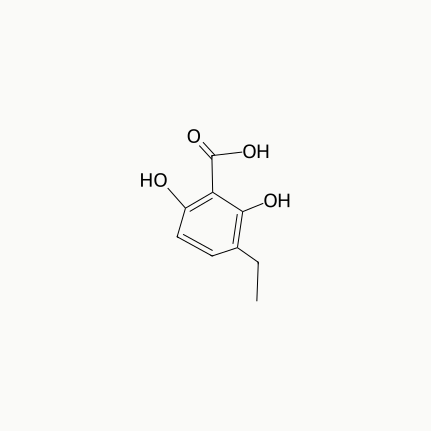 CCc1ccc(O)c(C(=O)O)c1O